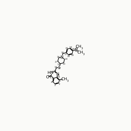 Cc1cccc2c(=O)[nH]c(CSC3CCN(Cc4ccc(N(C)C)cc4)CC3)nc12